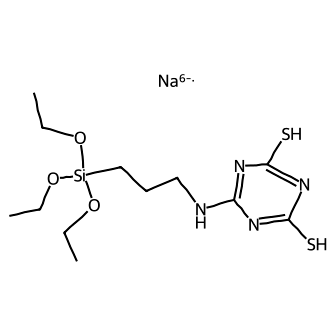 CCO[Si](CCCNc1nc(S)nc(S)n1)(OCC)OCC.[Na-6]